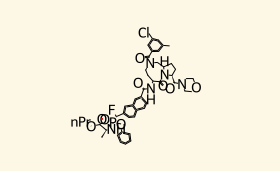 CCCOC(=O)[C@H](C)NP(=O)(Oc1ccccc1)C(F)c1ccc2ccc(C(=O)N[C@H]3CCN(C(=O)c4cc(C)cc(Cl)c4)C[C@H]4CC[C@@H](C(=O)N5CCOCC5)N4C3=O)cc2c1